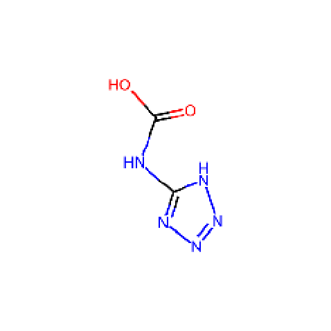 O=C(O)Nc1nnn[nH]1